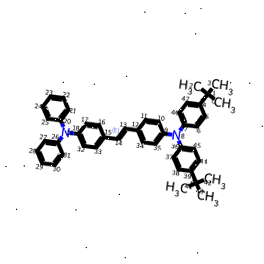 CC(C)(C)c1ccc(N(c2ccc(/C=C/c3ccc(N(c4ccccc4)c4ccccc4)cc3)cc2)c2ccc(C(C)(C)C)cc2)cc1